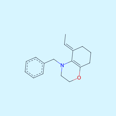 C/C=C1\CCCC2=C1N(Cc1ccccc1)CCO2